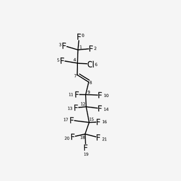 FC(F)(F)C(F)(Cl)C=CC(F)(F)C(F)(F)C(F)(F)C(F)(F)F